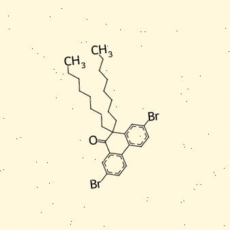 CCCCCCCCC1(CCCCCCCC)C(=O)c2cc(Br)ccc2-c2ccc(Br)cc21